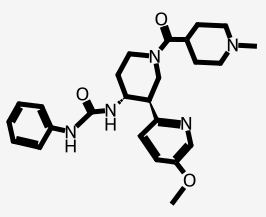 COc1ccc([C@@H]2CN(C(=O)C3CCN(C)CC3)CC[C@H]2NC(=O)Nc2ccccc2)nc1